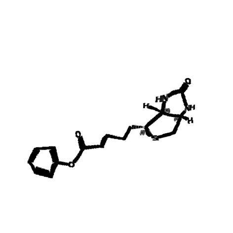 O=C1N[C@@H]2[C@@H](CS[C@@H]2CCCCC(=O)Oc2ccccc2)N1